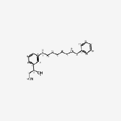 N#CCC(O)c1cccc(NCCCCCOCc2ccccc2)c1